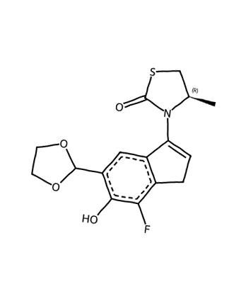 C[C@@H]1CSC(=O)N1C1=CCc2c1cc(C1OCCO1)c(O)c2F